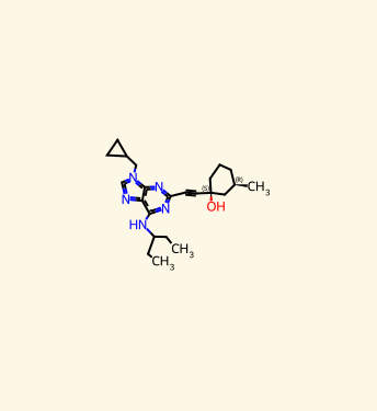 CCC(CC)Nc1nc(C#C[C@]2(O)CCC[C@@H](C)C2)nc2c1ncn2CC1CC1